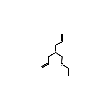 C=CCN(CC=C)COCC